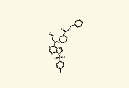 Cc1ccc(S(=O)(=O)n2ccc3c(N(CC=O)[C@@H]4CCCN(C(=O)OCc5ccccc5)C4)ncnc32)cc1